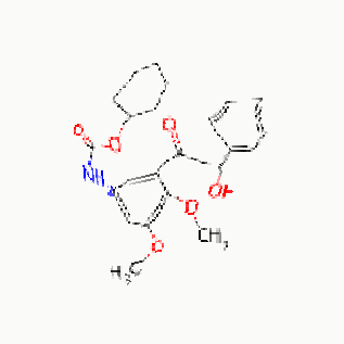 COc1cccc(C(=O)C(O)c2ccccc2)c1OC.NC(=O)OC1CCCCC1